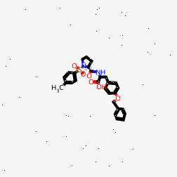 Cc1ccc(S(=O)(=O)N2CCC[C@H]2C(=O)NC(Cc2ccc(OCc3ccccc3)cc2)C(=O)O)cc1